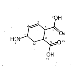 NC1C=CC(C(=O)O)C(C(=O)O)C1